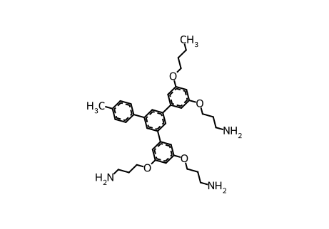 CCCCOc1cc(OCCCN)cc(-c2cc(-c3ccc(C)cc3)cc(-c3cc(OCCCN)cc(OCCCN)c3)c2)c1